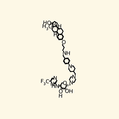 C[C@]12CC[C@@H]3c4ccc(OCCCNCc5ccc(N6CCC(CN7CCN(C[C@H]8OC[C@H](Nc9cncc(C(F)(F)F)n9)[C@@H](O)[C@H]8O)CC7)CC6)cc5)cc4CC[C@H]3[C@@H]1CC[C@@H]2O